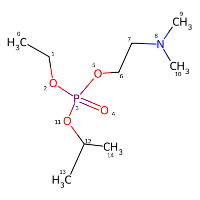 CCOP(=O)(OCCN(C)C)OC(C)C